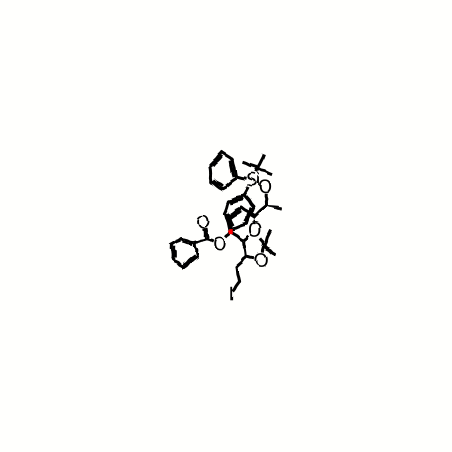 C[C@H](/C=C\C(OC(=O)c1ccccc1)C1OC(C)(C)OC1CCI)[C@H](C)O[Si](c1ccccc1)(c1ccccc1)C(C)(C)C